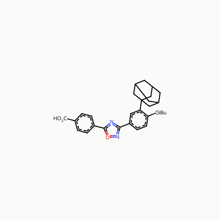 CC(C)COc1ccc(-c2noc(-c3ccc(C(=O)O)cc3)n2)cc1C12CC3CC(CC(C3)C1)C2